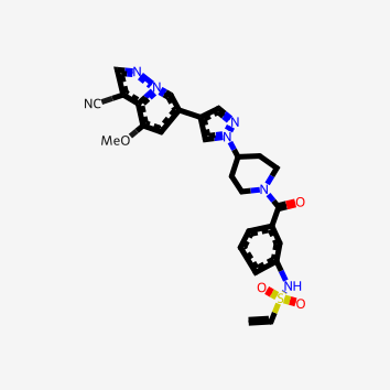 C=CS(=O)(=O)Nc1cccc(C(=O)N2CCC(n3cc(-c4cc(OC)c5c(C#N)cnn5c4)cn3)CC2)c1